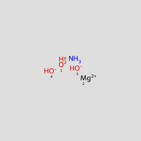 N.O.[Mg+2].[OH-].[OH-]